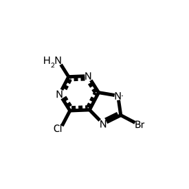 Nc1nc(Cl)c2c(n1)[N]C(Br)=N2